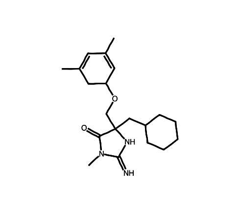 CC1=CC(OCC2(CC3CCCCC3)NC(=N)N(C)C2=O)CC(C)=C1